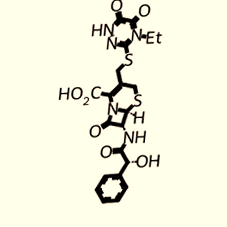 CCn1c(SCC2=C(C(=O)O)N3C(=O)[C@@H](NC(=O)[C@H](O)c4ccccc4)[C@@H]3SC2)n[nH]c(=O)c1=O